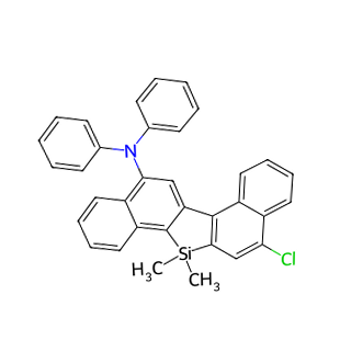 C[Si]1(C)c2cc(Cl)c3ccccc3c2-c2cc(N(c3ccccc3)c3ccccc3)c3ccccc3c21